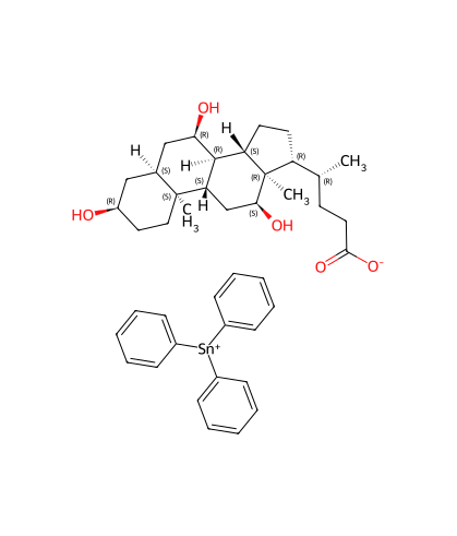 C[C@H](CCC(=O)[O-])[C@H]1CC[C@H]2[C@@H]3[C@H](O)C[C@@H]4C[C@H](O)CC[C@]4(C)[C@H]3C[C@H](O)[C@]12C.c1cc[c]([Sn+]([c]2ccccc2)[c]2ccccc2)cc1